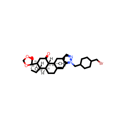 C[C@]12Cc3cnn(CC4CCC(CBr)CC4)c3C=C1CC[C@@H]1[C@@H]2C(=O)C[C@@]2(C)[C@H]1CC[C@@]21OCOC12COCO2